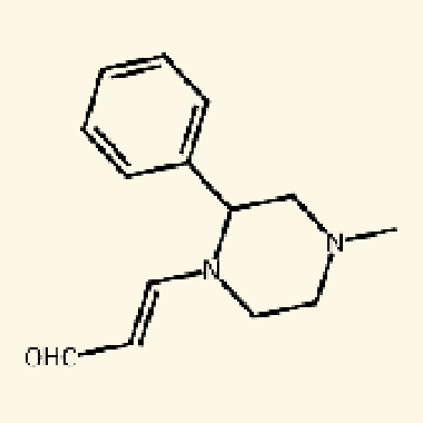 CN1CCN(C=CC=O)C(c2ccccc2)C1